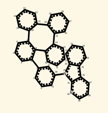 c1cc(-c2cccc3c2-c2ccccc2-c2ccccc2-c2ccccc2-3)cc(-n2c3ccccc3c3cccnc32)c1